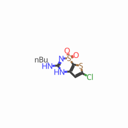 CCCCNC1=NS(=O)(=O)c2sc(Cl)cc2N1